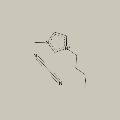 CCCC[n+]1ccn(C)c1.N#CC#N